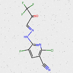 N#Cc1cc(F)c(NN=CC(=O)C(F)(F)F)nc1Cl